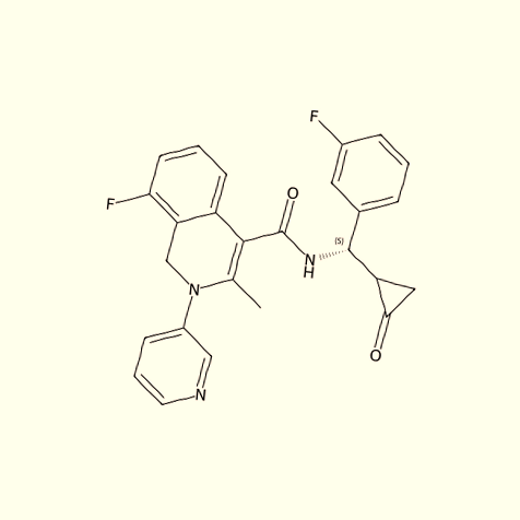 CC1=C(C(=O)N[C@H](c2cccc(F)c2)C2CC2=O)c2cccc(F)c2CN1c1cccnc1